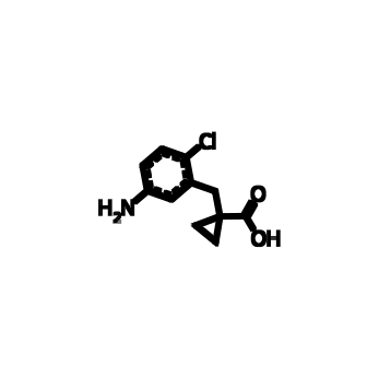 Nc1ccc(Cl)c(CC2(C(=O)O)CC2)c1